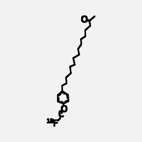 CC(=O)CCCCCCCCCCCCCCc1ccc(OCC[18F])cc1